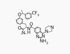 CC(Oc1cccc(CC(NC(=O)c2ccc3c(N4CCN(C)CC4)nc(N)nc3c2)C(=O)N(C)C)c1)c1cccc(C(F)(F)F)c1